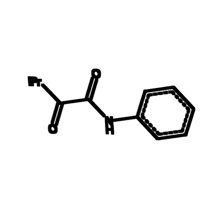 CC(C)C(=O)C(=O)Nc1ccccc1